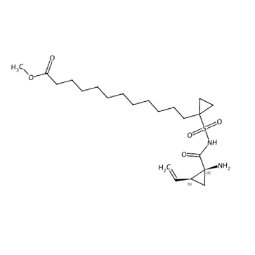 C=C[C@@H]1C[C@@]1(N)C(=O)NS(=O)(=O)C1(CCCCCCCCCCCC(=O)OC)CC1